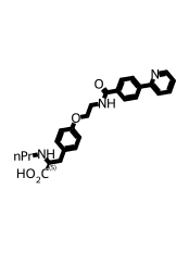 CCCN[C@@H](Cc1ccc(OCCNC(=O)c2ccc(-c3ccccn3)cc2)cc1)C(=O)O